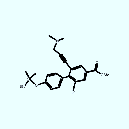 COC(=O)c1cc(Br)c(-c2ccc(O[Si](C)(C)C(C)(C)C)cc2)c(C#CCN(C)C)c1